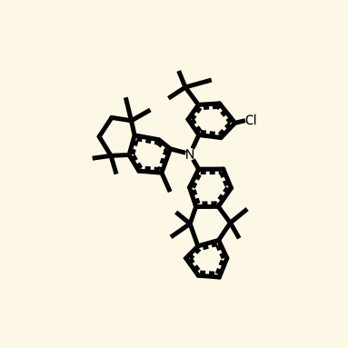 Cc1cc2c(cc1N(c1cc(Cl)cc(C(C)(C)C)c1)c1ccc3c(c1)C(C)(C)c1ccccc1C3(C)C)C(C)(C)CCC2(C)C